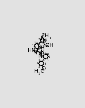 COc1cccc(-c2cccc3[nH]c(-c4n[nH]c5ccc(-c6cn(C)nc6CO)nc45)nc23)c1